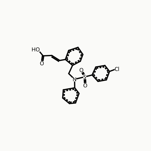 O=C(O)C=Cc1ccccc1CN(c1ccccc1)S(=O)(=O)c1ccc(Cl)cc1